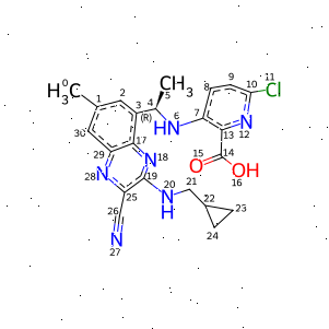 Cc1cc([C@@H](C)Nc2ccc(Cl)nc2C(=O)O)c2nc(NCC3CC3)c(C#N)nc2c1